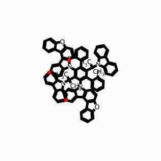 CC(C)(c1c(-c2ccccc2F)c(-n2c3ccccc3c3c4c(ccc32)oc2ccccc24)c(C(C)(C)n2c3ccccc3c3ccccc32)c(-n2c3ccccc3c3c4c(ccc32)oc2ccccc24)c1-c1ccccc1F)n1c2ccccc2c2ccccc21